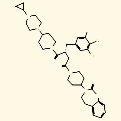 Nc1c(Cl)cc(C[C@@H](CC(=O)N2CCC(N3CCc4ccccc4NC3=O)CC2)C(=O)N2CCC(N3CCN(C4CC4)CC3)CC2)cc1C(F)(F)F